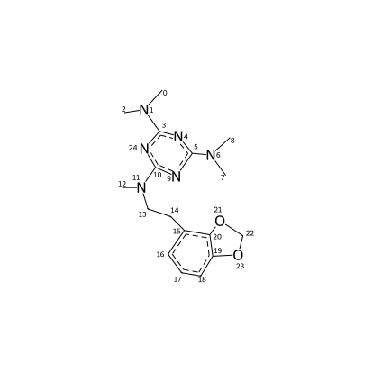 CN(C)c1nc(N(C)C)nc(N(C)CCc2cccc3c2OCO3)n1